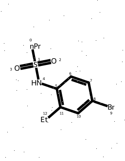 CCCS(=O)(=O)Nc1ccc(Br)cc1CC